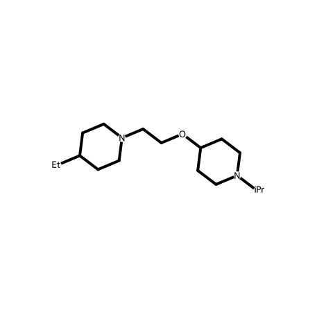 CCC1CCN(CCOC2CCN(C(C)C)CC2)CC1